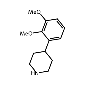 COc1cccc(C2CCNCC2)c1OC